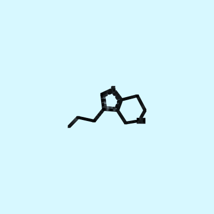 CCCc1csc2c1CNCC2